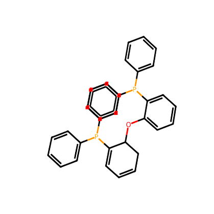 C1=CCC(Oc2ccccc2P(c2ccccc2)c2ccccc2)C(P(c2ccccc2)c2ccccc2)=C1